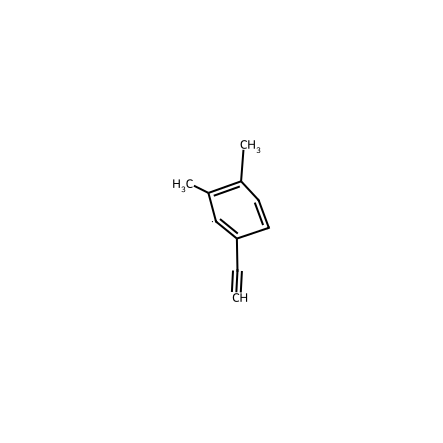 C#Cc1[c]c(C)c(C)cc1